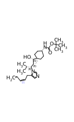 C=C/C=C\Cc1cncn1[C@H](C(C)C)[C@H]1C[C@]2(CC[C@@H](NC(=O)OC(C)(C)C)CC2)[C@H]1O